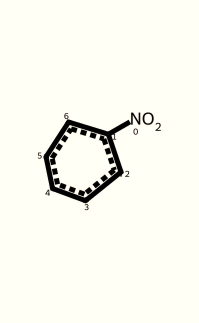 O=[N+]([O-])c1[c]cc[c]c1